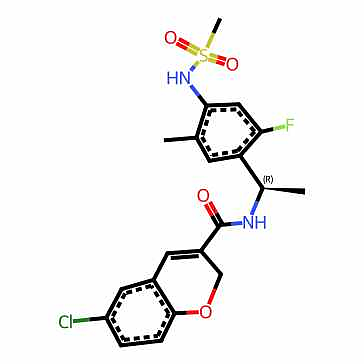 Cc1cc([C@@H](C)NC(=O)C2=Cc3cc(Cl)ccc3OC2)c(F)cc1NS(C)(=O)=O